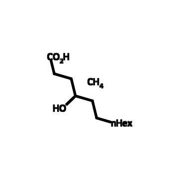 C.CCCCCCCCC(O)CCC(=O)O